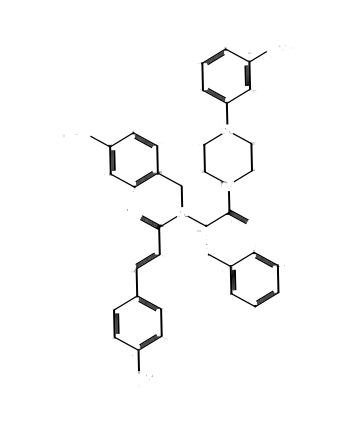 CCCCCc1ccc(CN(C(=O)/C=C/c2ccc(OC)cc2)[C@@H](Cc2ccccc2)C(=O)N2CCN(c3cccc(OC)c3)CC2)cc1